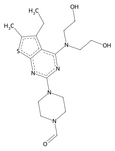 CCc1c(C)sc2nc(N3CCN(C=O)CC3)nc(N(CCO)CCO)c12